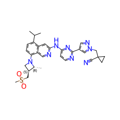 CC(C)c1ccc(N2C[C@H](CS(C)(=O)=O)[C@H]2C)c2cnc(Nc3ccnc(-c4cnn(CC5(C#N)CC5)c4)n3)cc12